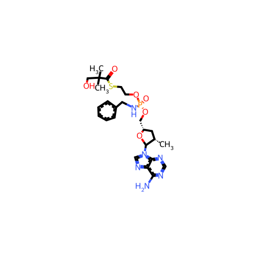 C[C@H]1C[C@@H](COP(=O)(NCc2ccccc2)OCCSC(=O)C(C)(C)CO)OC1n1cnc2c(N)ncnc21